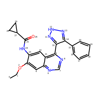 CCOc1cc2ncnc(-c3n[nH]nc3-c3ccccc3)c2cc1NC(=O)C1CC1